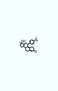 CN(C)c1ccc(C2C[C@@]3(C)C(CC[C@]3(C)O)C3CCC4=CC(=O)CCC4=C23)cc1